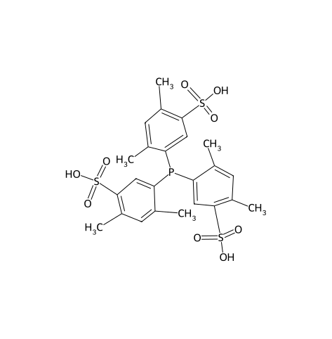 Cc1cc(C)c(S(=O)(=O)O)cc1P(c1cc(S(=O)(=O)O)c(C)cc1C)c1cc(S(=O)(=O)O)c(C)cc1C